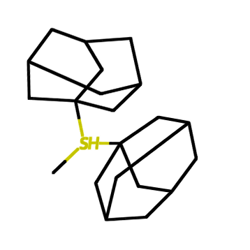 C[SH](C12CC3CC(CC(C3)C1)C2)C12CC3CC(CC(C3)C1)C2